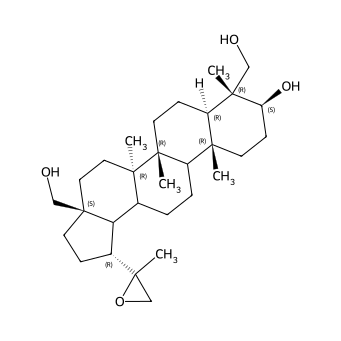 CC1([C@@H]2CC[C@]3(CO)CC[C@]4(C)C(CCC5[C@@]6(C)CC[C@H](O)[C@@](C)(CO)[C@@H]6CC[C@]54C)C23)CO1